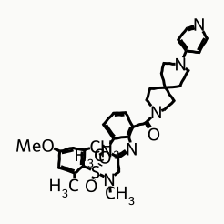 COc1cc(C)c(S(=O)(=O)N(C)Cc2nc3c(C(=O)N4CCC5(CC4)CCN(c4ccncc4)CC5)cccc3n2C)c(C)c1